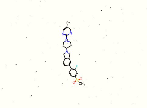 CCc1cnc(N2CCC(N3Cc4ccc(-c5ccc(S(C)(=O)=O)cc5F)cc4C3)CC2)nc1